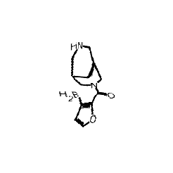 Bc1ccoc1C(=O)N1CC2CNCC(C2)C1